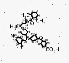 Cc1cccc(C)c1C(=O)NCCC(C)N1CCC(N(Cc2cc(C#N)ccc2F)c2ccc(Oc3ccc(C(=O)O)cc3)cc2)CC1